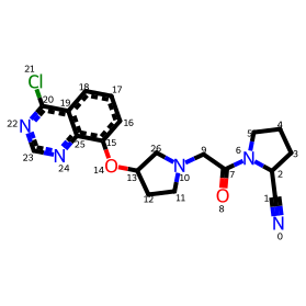 N#CC1CCCN1C(=O)CN1CCC(Oc2cccc3c(Cl)ncnc23)C1